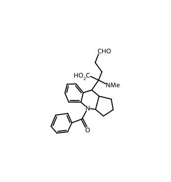 CNC(CCC=O)(C(=O)O)C1c2ccccc2N(C(=O)c2ccccc2)C2CCCC21